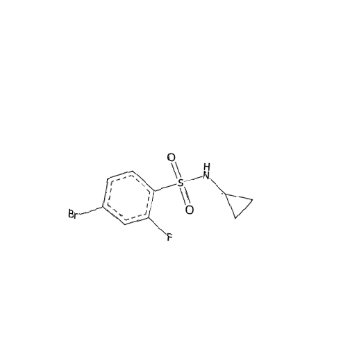 O=S(=O)(N[C]1CC1)c1ccc(Br)cc1F